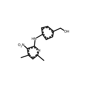 Cc1cc(C)c([N+](=O)[O-])c(Nc2ccc(CO)cc2)n1